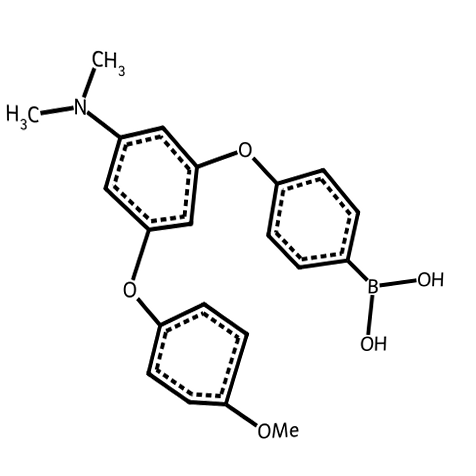 COc1ccc(Oc2cc(Oc3ccc(B(O)O)cc3)cc(N(C)C)c2)cc1